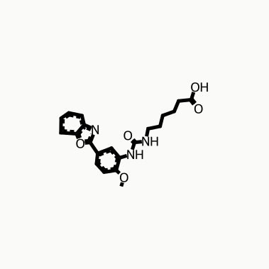 COc1ccc(-c2nc3ccccc3o2)cc1NC(=O)NCCCCCC(=O)O